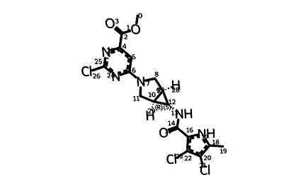 COC(=O)c1cc(N2C[C@@H]3[C@H](C2)[C@H]3NC(=O)c2[nH]c(C)c(Cl)c2Cl)nc(Cl)n1